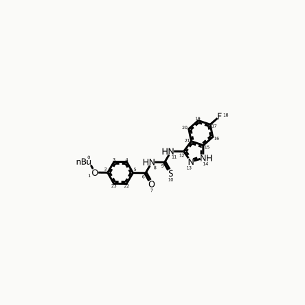 CCCCOc1ccc(C(=O)NC(=S)Nc2n[nH]c3cc(F)ccc23)cc1